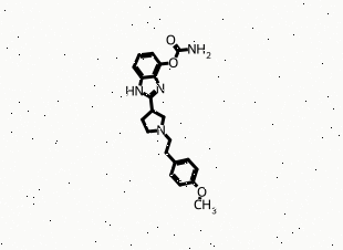 COc1ccc(CCN2CCC(c3nc4c(OC(N)=O)cccc4[nH]3)C2)cc1